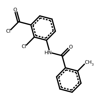 Cc1ccccc1C(=O)Nc1cccc(C(=O)Cl)c1Cl